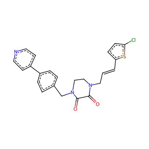 O=C1C(=O)N(Cc2ccc(-c3ccncc3)cc2)CCN1CC=Cc1ccc(Cl)s1